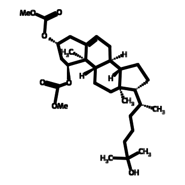 COC(=O)O[C@@H]1CC2=CC[C@H]3[C@@H]4CC[C@H]([C@H](C)CCCC(C)(C)O)[C@@]4(C)CC[C@@H]3[C@@]2(C)[C@@H](OC(=O)OC)C1